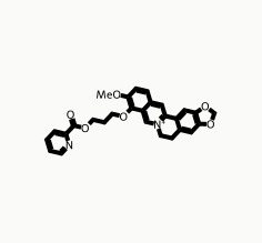 COc1ccc2cc3[n+](cc2c1OCCCOC(=O)c1ccccn1)CCc1cc2c(cc1-3)OCO2